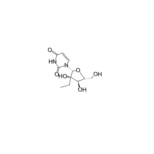 CC[C@@]1(O)[C@H](O)[C@@H](CO)O[C@H]1n1ccc(=O)[nH]c1=O